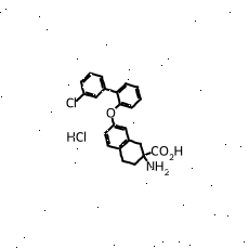 Cl.NC1(C(=O)O)CCc2ccc(Oc3ccccc3-c3cccc(Cl)c3)cc2C1